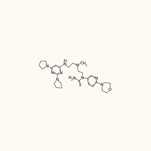 CN(CCNc1cc(N2CCCC2)nc(N2CCCC2)n1)CCN(C(N)=S)c1ccc(N2CCOCC2)nc1